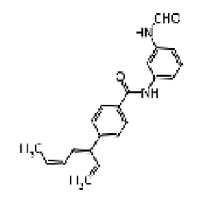 C=C/C(=C\C=C/C)c1ccc(C(=O)Nc2cccc(NC=O)c2)cc1